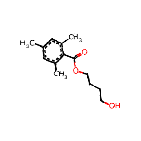 Cc1cc(C)c(C(=O)OCCCCO)c(C)c1